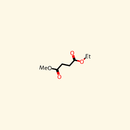 [CH2]COC(=O)CCC(=O)O[CH2]